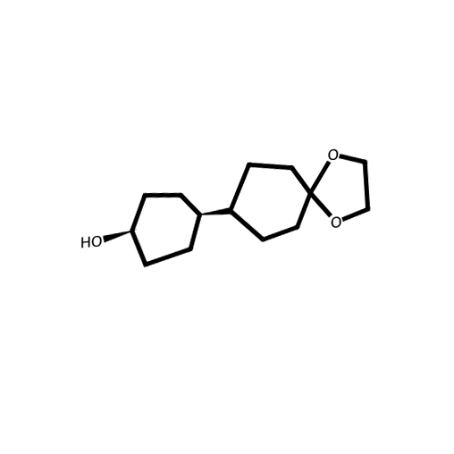 O[C@H]1CC[C@@H](C2CCC3(CC2)OCCO3)CC1